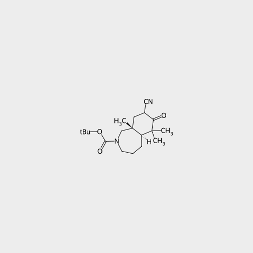 CC(C)(C)OC(=O)N1CCC[C@@H]2C(C)(C)C(=O)C(C#N)C[C@@]2(C)C1